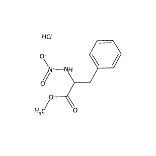 COC(=O)C(Cc1ccccc1)N[N+](=O)[O-].Cl